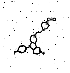 O=CN1CCN(CCN2CCC3C(C2)c2cc(F)ccc2N3c2ccc(F)cc2)CC1